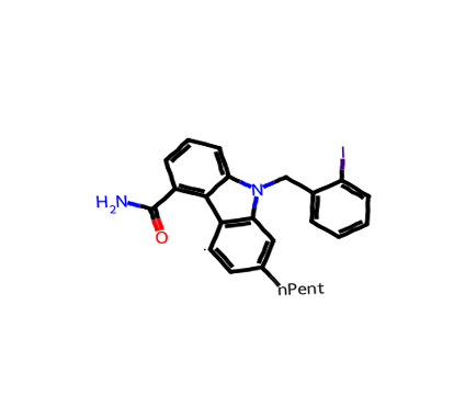 CCCCCc1c[c]c2c3c(C(N)=O)cccc3n(Cc3ccccc3I)c2c1